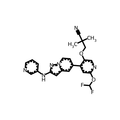 CC(C)(C#N)COc1cnc(OC(F)F)cc1-c1ccn2nc(Nc3cccnc3)cc2c1